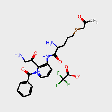 NCC(=O)c1c(NC(=O)[C@@H](N)CCCSCC(=O)C(F)(F)F)ccc[n+]1C(=O)c1ccccc1.O=C([O-])C(F)(F)F